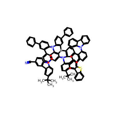 CC(C)(C)c1ccc(N2c3cc(-c4c(-c5cccc6c5sc5ccccc56)cccc4-n4c5ccccc5c5ccccc54)ccc3B3c4cc(-c5ccccc5)ccc4N(c4ccc(-c5ccccc5)cc4-c4ccccc4)c4cc(-n5c6ccc(C#N)cc6c6cc(C(C)(C)C)ccc65)cc2c43)c(-c2ccccc2)c1